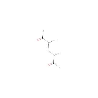 CC(=O)C(Br)CC(Br)C(C)=O